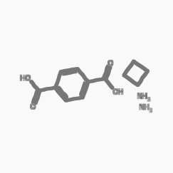 C1CCC1.N.N.O=C(O)c1ccc(C(=O)O)cc1